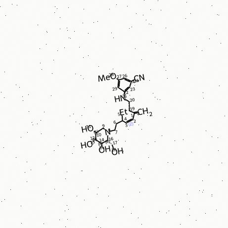 C=C(/C=C\C(CC)CCN1C[C@H](O)[C@@H](O)[C@H](O)[C@H]1CO)CCNc1cc(C#N)cc(OC)c1